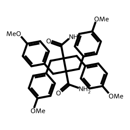 COc1ccc(CC(Cc2ccc(OC)cc2)(C(N)=O)C(Cc2ccc(OC)cc2)(Cc2ccc(OC)cc2)C(N)=O)cc1